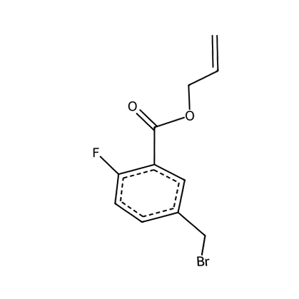 C=CCOC(=O)c1cc(CBr)ccc1F